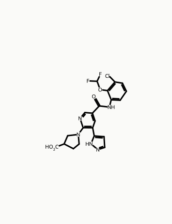 O=C(Nc1cccc(Cl)c1OC(F)F)c1cnc(N2CCC(C(=O)O)C2)c(-c2ccn[nH]2)c1